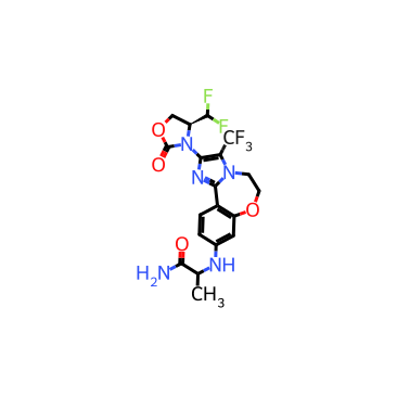 CC(Nc1ccc2c(c1)OCCn1c-2nc(N2C(=O)OC[C@H]2C(F)F)c1C(F)(F)F)C(N)=O